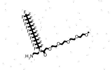 COCCOCCOCCOCCOCC(=O)N(CCN)C(F)(F)C(F)(F)C(F)(F)C(F)(F)C(F)(F)C(F)(F)C(F)(F)C(F)(F)C(F)(F)C(F)(F)F